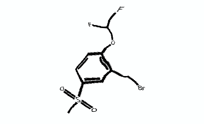 CS(=O)(=O)c1ccc(OC(F)F)c(CBr)c1